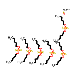 CCCCCOP(=S)([S-])OCCCCC.CCCCCOP(=S)([S-])OCCCCC.CCCCCOP(=S)([S-])OCCCCC.CCCCCOP(=S)([S-])OCCCCC.CCCCCOP(=S)([S-])OCCCCC.CCCCCOP(=S)([S-])OCCCCC.O=S.[Mo+6]